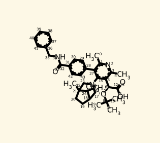 Cc1nc(C)c([C@H](OC(C)(C)C)C(=O)O)c(N2CC3CCC(C)(C2)C3(C)C)c1-c1ccc(C(=O)NCc2ccccc2)cc1